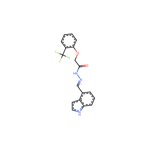 O=C(COc1ccccc1C(F)(F)F)N/N=C/c1cccc2[nH]ccc12